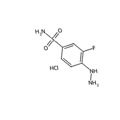 Cl.NNc1ccc(S(N)(=O)=O)cc1F